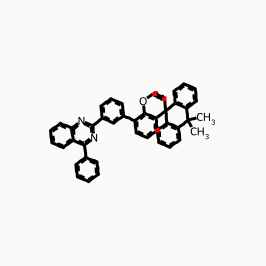 CC1(C)c2ccccc2C2(c3ccccc3Oc3c(-c4cccc(-c5nc(-c6ccccc6)c6ccccc6n5)c4)cccc32)c2ccccc21